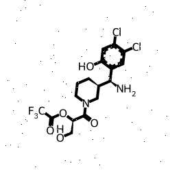 N[C@H](c1cc(Cl)c(Cl)cc1O)[C@@H]1CCCN(C(=O)[C@@H](CO)OC(=O)C(F)(F)F)C1